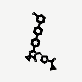 O=C(C1CC1)N1CC[C@H](CN2C(=O)C3(CC3)N=C2c2ccc(-c3ccc(-c4cccc(Cl)c4)cc3)cc2)C1